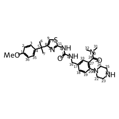 COc1ccc(C(C)(C)c2csc(NC(=O)NCc3ccc(N4CCNCC4)c(C(=O)N(C)C)c3)n2)cc1